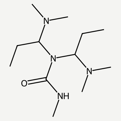 CCC(N(C)C)N(C(=O)NC)C(CC)N(C)C